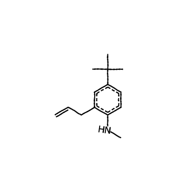 C=CCc1cc(C(C)(C)C)ccc1NC